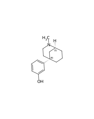 CN1CC[C@]2(c3cccc(O)c3)CCC[C@H]1C2